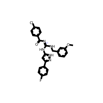 COc1cccc(CN/C(=N/C(=O)c2ccc(Cl)cc2)Nc2cc(-c3ccc(F)cc3)n[nH]2)c1